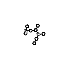 c1ccc(-c2ccc(-c3nc(-c4ccccc4)nc(-c4cc(-c5ccccc5)cc(-c5ccc(-c6c(-c7ccccc7)nc7ccccn67)cc5)c4)n3)cc2)cc1